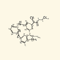 COCCNC(=O)c1cccc(Nc2nccc(Oc3ccc4[nH]c(C)cc4c3)n2)c1